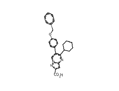 O=C(O)c1cc2nc(C3CCCCC3)c(-c3ccc(OCc4ccccc4)cc3)cn2n1